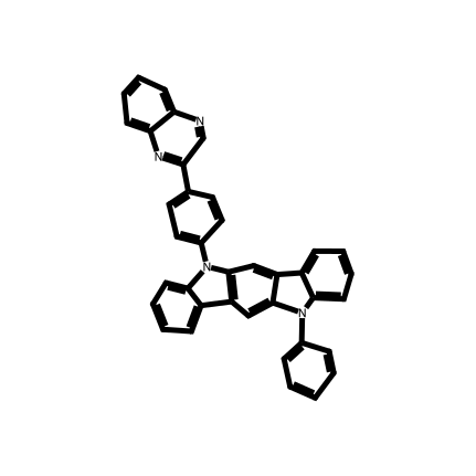 c1ccc(-n2c3ccccc3c3cc4c(cc32)c2ccccc2n4-c2ccc(-c3cnc4ccccc4n3)cc2)cc1